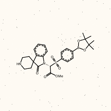 COC(=O)[C@H](N1C(=O)C2(CCNCC2)c2ccccc21)S(=O)(=O)c1ccc(B2OC(C)(C)C(C)(C)O2)cc1